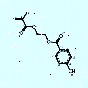 C=C(C)C(=O)OCCOC(=O)c1ccc(C#N)cc1